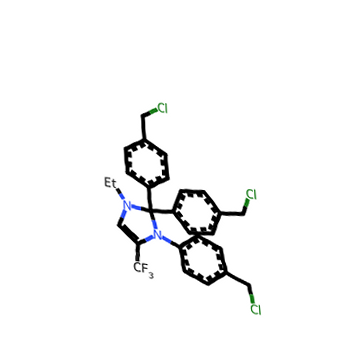 CCN1C=C(C(F)(F)F)N(c2ccc(CCl)cc2)C1(c1ccc(CCl)cc1)c1ccc(CCl)cc1